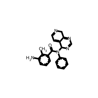 Cc1c(N)cccc1C(=O)N(c1ccccc1)C1N=CN=C2CN=CC=C21